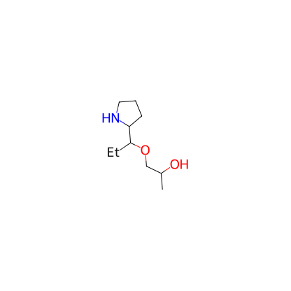 CCC(OCC(C)O)C1CCCN1